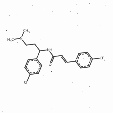 CN(C)CCC(NC(=O)C=Cc1ccc(C(F)(F)F)cc1)c1ccc(Cl)cc1